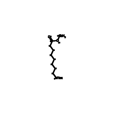 CCCCCCCCCCCCCC(=O)[O][SbH2]